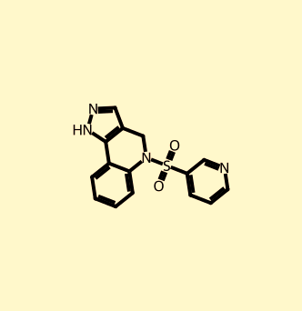 O=S(=O)(c1cccnc1)N1Cc2cn[nH]c2-c2ccccc21